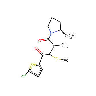 CC(=O)SC(C(=O)c1ccc(Cl)s1)C(C)C(=O)N1CCC[C@H]1C(=O)O